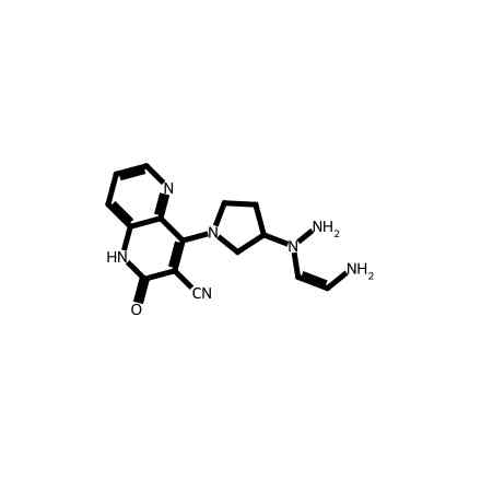 N#Cc1c(N2CCC(N(N)/C=C\N)C2)c2ncccc2[nH]c1=O